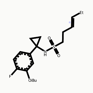 CC/C=C/CCS(=O)(=O)NC1(c2ccc(F)c(OCC(C)C)c2)CC1